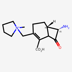 C[N+]1(CC2=C(C(=O)O)C3C(=O)[C@@H](N)[C@H]3CC2)CCCC1